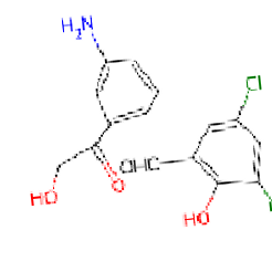 Nc1cccc(C(=O)CO)c1.O=Cc1cc(Cl)cc(Cl)c1O